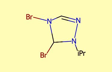 CC(C)N1N=CN(Br)C1Br